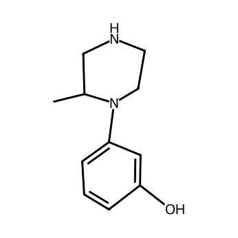 CC1CNCCN1c1cccc(O)c1